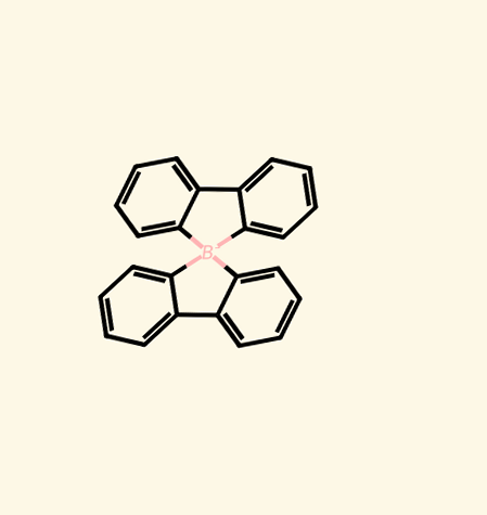 c1ccc2c(c1)-c1ccccc1[B-]21c2ccccc2-c2ccccc21